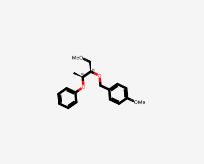 COC[C@@H](OCc1ccc(OC)cc1)[C@H](C)Oc1ccccc1